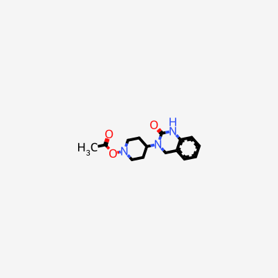 CC(=O)ON1CCC(N2Cc3ccccc3NC2=O)CC1